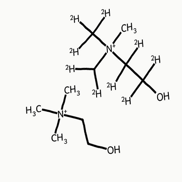 C[N+](C)(C)CCO.[2H]C([2H])[N+](C)(C([2H])([2H])[2H])C([2H])([2H])C([2H])([2H])O